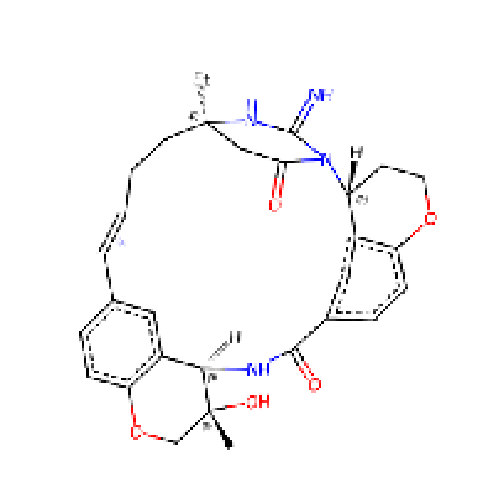 CC[C@]12CC/C=C/c3ccc4c(c3)[C@@H](NC(=O)c3ccc5c(c3)[C@@H](CCO5)N(C(=N)N1)C(=O)C2)[C@](C)(O)CO4